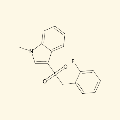 Cn1cc(S(=O)(=O)Cc2ccccc2F)c2ccccc21